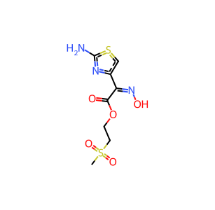 CS(=O)(=O)CCOC(=O)C(=NO)c1csc(N)n1